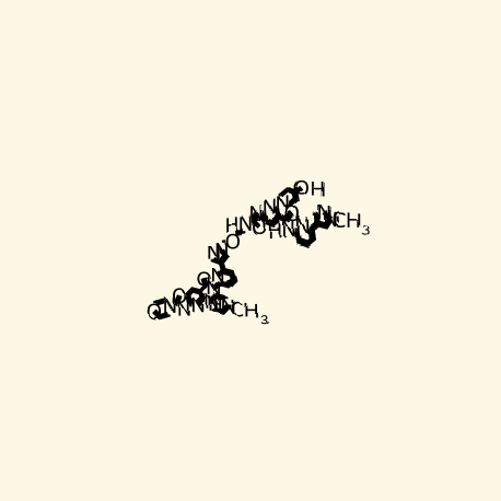 CN1CCN(c2nc3nc(N4CCOCC4)oc3cc2C(=O)Nc2cccc(-c3cnn(COCCNc4nc5nc(N6CCC(O)CC6)c(C(=O)Nc6cccc(-c7cnn(C)c7)n6)cc5o4)c3)n2)CC1